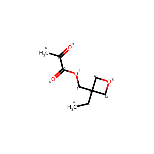 CCC1(COC(=O)C(C)=O)COC1